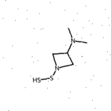 CN(C)C1CN(SS)C1